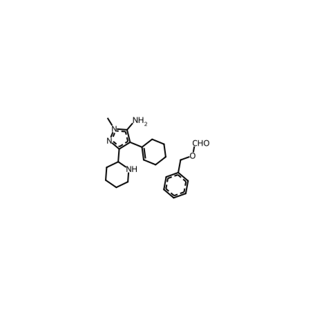 Cn1nc(C2CCCCN2)c(C2=CCCCC2)c1N.O=COCc1ccccc1